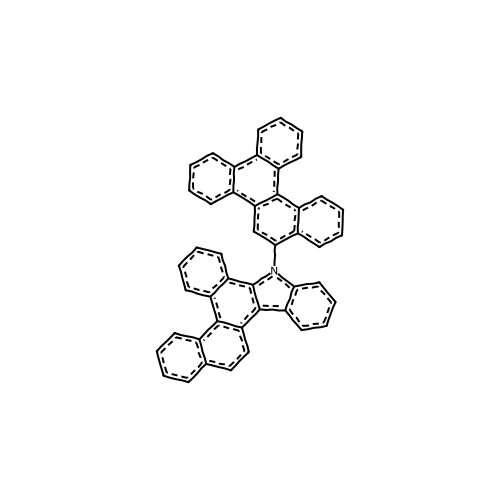 c1ccc2c(c1)ccc1c2c2ccccc2c2c1c1ccccc1n2-c1cc2c3ccccc3c3ccccc3c2c2ccccc12